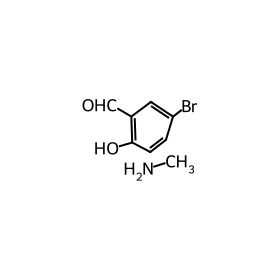 CN.O=Cc1cc(Br)ccc1O